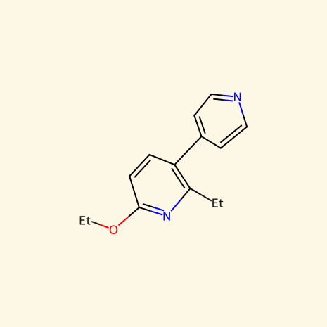 CCOc1ccc(-c2ccncc2)c(CC)n1